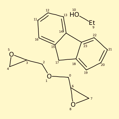 C(OCC1CO1)C1CO1.CCO.c1ccc2c(c1)Cc1ccccc1-2